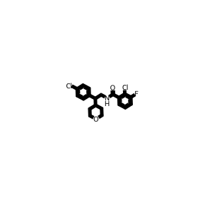 O=C(NCC(c1ccc(Cl)cc1)C1CCOCC1)c1cccc(F)c1Cl